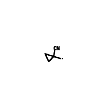 [CH2]C1(C#N)CC1